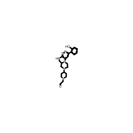 O=CCN1CCC(N2CCN3c4cc(-c5ccccc5O)nnc4NCC3C2)CC1